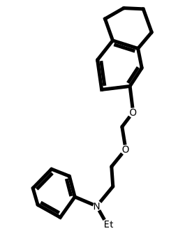 CCN(CCOCOc1ccc2c(c1)CCCC2)c1ccccc1